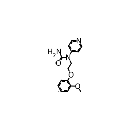 COc1c[c]ccc1OCCN(C(N)=O)c1ccncc1